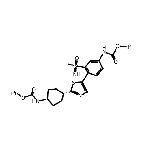 CC(C)OC(=O)Nc1ccc(-c2cnc([C@H]3CC[C@H](NC(=O)OC(C)C)CC3)s2)c(S(C)(=N)=O)c1